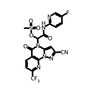 CS(=O)(=O)OC(C(=O)Nc1ccc(F)cn1)n1c(=O)c2ccc(C(F)(F)F)nc2n2nc(C#N)cc12